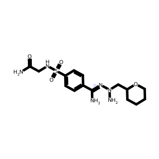 NC(=O)CNS(=O)(=O)c1ccc(/C(N)=N/N(N)CC2CCCCO2)cc1